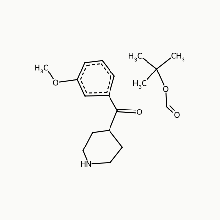 CC(C)(C)OC=O.COc1cccc(C(=O)C2CCNCC2)c1